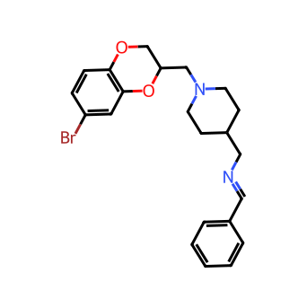 Brc1ccc2c(c1)OC(CN1CCC(CN=Cc3ccccc3)CC1)CO2